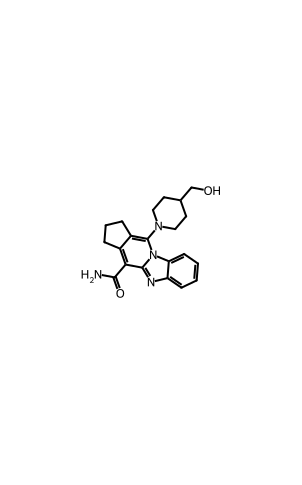 NC(=O)c1c2c(c(N3CCC(CO)CC3)n3c1nc1ccccc13)CCC2